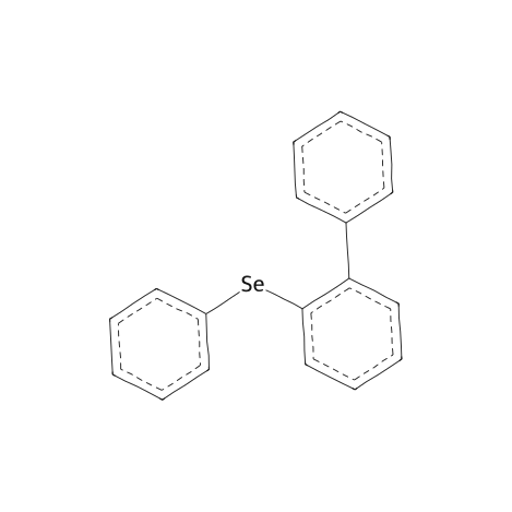 c1ccc([Se]c2ccccc2-c2ccccc2)cc1